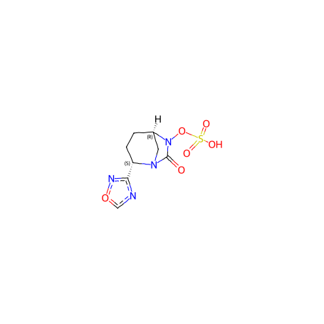 O=C1N2C[C@@H](CC[C@H]2c2ncon2)N1OS(=O)(=O)O